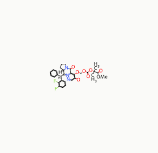 COC(=O)C(C)(C)OC(=O)OCOc1c2n(ncc1=O)[C@@H]([C@H](c1ccccc1)c1cccc(F)c1F)[C@H]1CCCN1C2=O